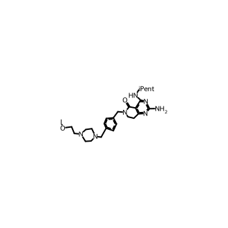 CCCC(C)Nc1nc(N)nc2c1C(=O)N(Cc1ccc(CN3CCN(CCOI)CC3)cc1)CC2